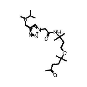 CC(=O)CCC(C)(C)OCCC(C)(C)NC(=O)Cn1cc(CN(C)C(C)C)nn1